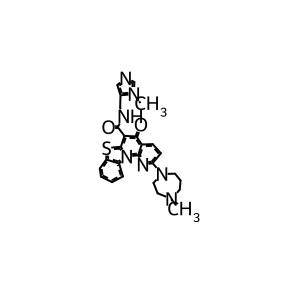 CN1CCCN(c2ccc3c(=O)c(C(=O)NCc4cncn4C)c4sc5ccccc5n4c3n2)CC1